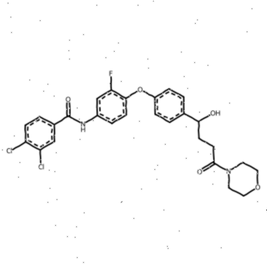 O=C(Nc1ccc(Oc2ccc(C(O)CCC(=O)N3CCOCC3)cc2)c(F)c1)c1ccc(Cl)c(Cl)c1